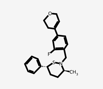 C[C@H]1CC[C@H](c2ccccc2)SN1Cc1ccc(C2=CCOCC2)cc1F